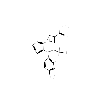 COC(=O)C1CN(c2ccccc2N2CC(C)(C)Oc3cc(OC)ccc32)C1